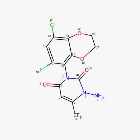 Nn1c(C(F)(F)F)cc(=O)n(-c2c(F)cc(Cl)c3c2OCCO3)c1=O